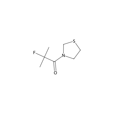 CC(C)(F)C(=O)N1CCSC1